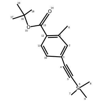 Cc1cc(C#C[Si](C)(C)C)ccc1C(=O)OC(C)(C)C